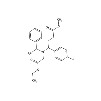 CCOC(=O)CN(C(C)c1ccccc1)C(CCC(=O)OC)c1ccc(F)cc1